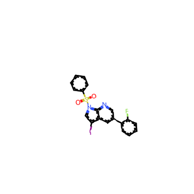 O=S(=O)(c1ccccc1)n1cc(I)c2cc(-c3ccccc3F)cnc21